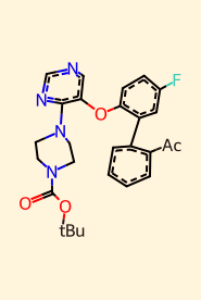 CC(=O)c1ccccc1-c1cc(F)ccc1Oc1cncnc1N1CCN(C(=O)OC(C)(C)C)CC1